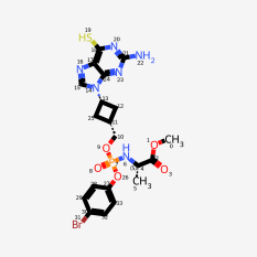 COC(=O)[C@H](C)NP(=O)(OC[C@H]1C[C@@H](n2cnc3c(S)nc(N)nc32)C1)Oc1ccc(Br)cc1